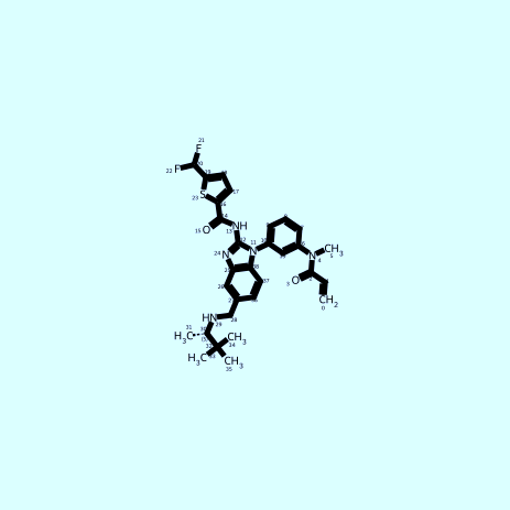 C=CC(=O)N(C)c1cccc(-n2c(NC(=O)c3ccc(C(F)F)s3)nc3cc(CN[C@@H](C)C(C)(C)C)ccc32)c1